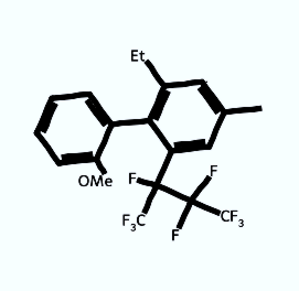 CCc1[c]c(C)cc(C(F)(C(F)(F)F)C(F)(F)C(F)(F)F)c1-c1ccccc1OC